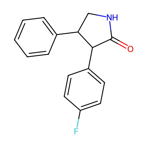 O=C1NCC(c2ccccc2)C1c1ccc(F)cc1